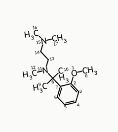 COc1ccccc1C(C)(C)N(C)CCN(C)C